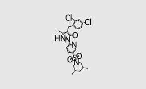 Cc1[nH]n(-c2ccc(S(=O)(=O)N3C[C@H](C)C[C@H](C)C3)cn2)c(=O)c1Cc1ccc(Cl)cc1Cl